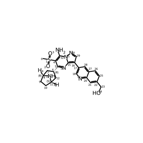 CS(=O)(=O)c1c([C@H]2C[C@H]3CC[C@@H](C2)N3)nc2c(-c3cnc4cc(CO)ccc4c3)cnn2c1N